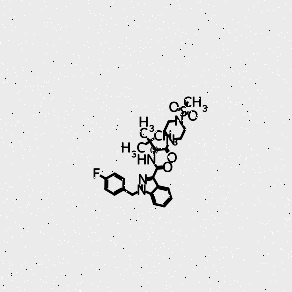 CC(C)(C)[C@H](NC(=O)c1nn(Cc2ccc(F)cc2)c2ccccc12)C(=O)N1CCN(S(C)(=O)=O)CC1